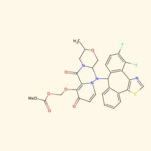 COC(=O)OCOc1c2n(ccc1=O)N(C1c3ccccc3-c3scnc3-c3c1ccc(F)c3F)C1COC(C)CN1C2=O